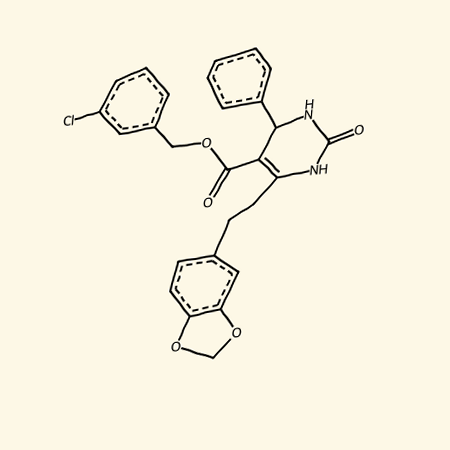 O=C1NC(CCc2ccc3c(c2)OCO3)=C(C(=O)OCc2cccc(Cl)c2)C(c2ccccc2)N1